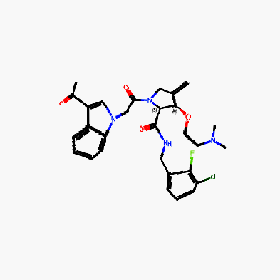 C=C1CN(C(=O)Cn2cc(C(C)=O)c3ccccc32)[C@H](C(=O)NCc2cccc(Cl)c2F)[C@@H]1OCCN(C)C